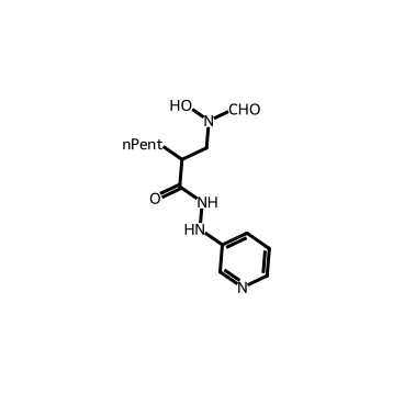 CCCCCC(CN(O)C=O)C(=O)NNc1cccnc1